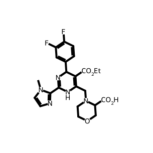 CCOC(=O)C1=C(CN2CCOCC2C(=O)O)NC(c2nccn2C)=NC1c1ccc(F)c(F)c1